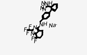 FC(F)(F)c1nc(NCc2ccc(-c3ccccc3-c3nnn[nH]3)cc2)c2c(n1)C(F)(F)CCC2.[Na]